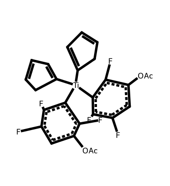 CC(=O)Oc1cc(F)c(F)[c]([Ti]([C]2=CC=CC2)([C]2=CC=CC2)[c]2c(F)c(F)cc(OC(C)=O)c2F)c1F